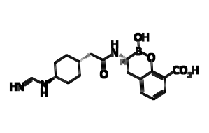 N=CN[C@H]1CC[C@H](CC(=O)N[C@H]2Cc3cccc(C(=O)O)c3OB2O)CC1